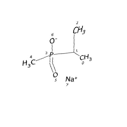 CC(C)P(C)(=O)[O-].[Na+]